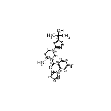 C[C@@H]1CC[C@@H](c2cc(C(C)(C)O)sn2)CN1C(=O)c1ccc(F)cc1-n1nccn1